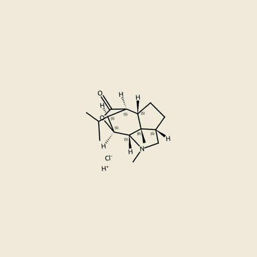 CC(C)[C@@H]1[C@@H]2OC(=O)[C@H]1[C@@H]1CC[C@@H]3CN(C)[C@H]2[C@@]31C.[Cl-].[H+]